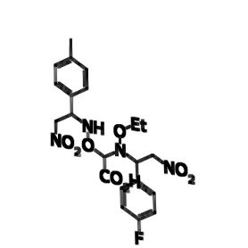 CCON(C(ONC(C[N+](=O)[O-])c1ccc(C)cc1)C(=O)O)C(C[N+](=O)[O-])c1ccc(F)cc1